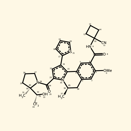 COc1cc2c(cc1C(=O)NC1(C#N)CCC1)-c1c(-c3cccs3)cc(C(=O)N3CCC[C@]3(C)[C@H](O)C(F)(F)F)n1[C@H](C)C2